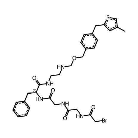 Cc1csc(Cc2ccc(COCNCCNC(=O)[C@H](Cc3ccccc3)NC(=O)CNC(=O)CNC(=O)CBr)cc2)c1